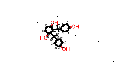 CC(C)(c1ccc(O)cc1)c1c(O)ccc(O)c1C(C)(C)c1ccc(O)cc1